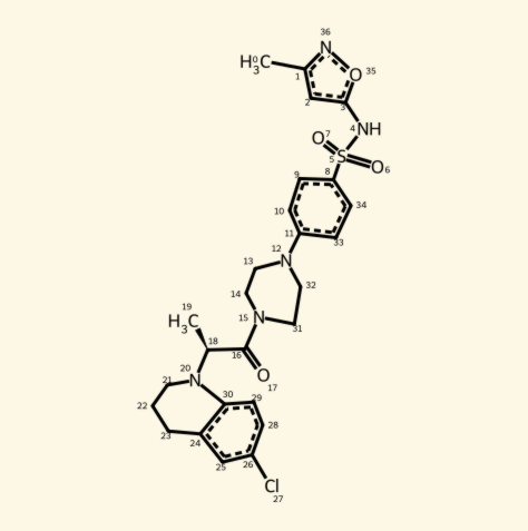 Cc1cc(NS(=O)(=O)c2ccc(N3CCN(C(=O)[C@H](C)N4CCCc5cc(Cl)ccc54)CC3)cc2)on1